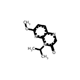 COc1ccc2ncc(=O)n(C(C)C)c2n1